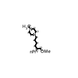 CCC[C@@H](CCCCN1CCN(C)CC1)COC